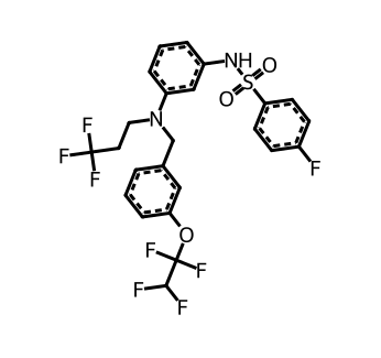 O=S(=O)(Nc1cccc(N(CCC(F)(F)F)Cc2cccc(OC(F)(F)C(F)F)c2)c1)c1ccc(F)cc1